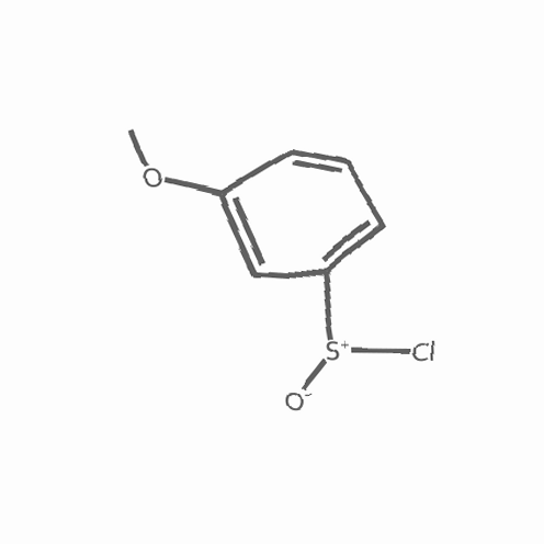 COc1cccc([S+]([O-])Cl)c1